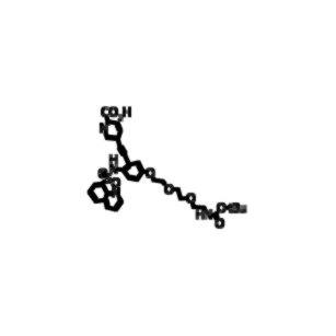 CC(C)(C)OC(=O)NCCOCCOCCOc1ccc(NS(=O)(=O)c2cccc3cccnc23)c(C#Cc2ccc(C(=O)O)nc2)c1